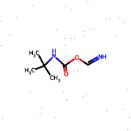 CC(C)(C)NC(=O)OC=N